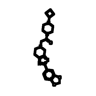 O=C(CN1CCc2nc(-c3ccc4c(c3)OCO4)sc2C1)N1CCN(C2CCC2)CC1